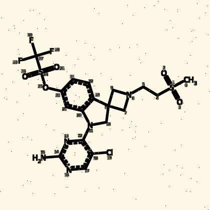 CS(=O)(=O)CCN1CC2(C1)CN(c1nc(N)ncc1Cl)c1cc(OS(=O)(=O)C(F)(F)F)ccc12